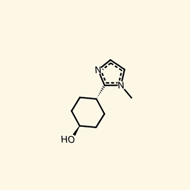 Cn1ccnc1[C@H]1CC[C@H](O)CC1